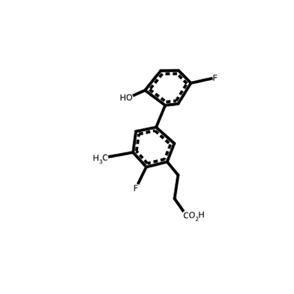 Cc1cc(-c2cc(F)ccc2O)cc(CCC(=O)O)c1F